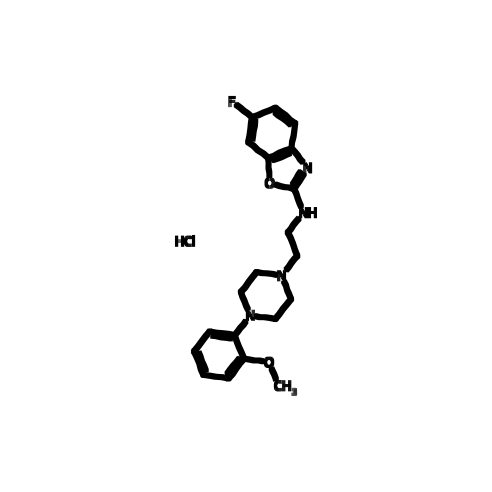 COc1ccccc1N1CCN(CCNc2nc3ccc(F)cc3o2)CC1.Cl